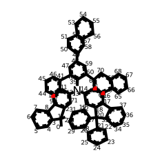 CC1(C)c2ccccc2-c2ccc(N(c3ccc4c(c3)C(c3ccccc3)(c3ccccc3)c3ccccc3-4)c3c(-c4ccccc4)cc(-c4ccc5ccccc5c4)cc3-c3ccc4ccccc4c3)cc21